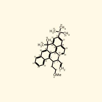 C=CC1C(CCOC)c2c3c(cc4ccccc24)C(C)(C)c2cc([Si](C)(C)C)cc4cc[n+]1c-3c24